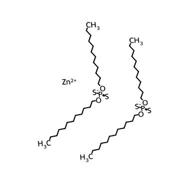 CCCCCCCCCCCCOP(=S)([S-])OCCCCCCCCCCCC.CCCCCCCCCCCCOP(=S)([S-])OCCCCCCCCCCCC.[Zn+2]